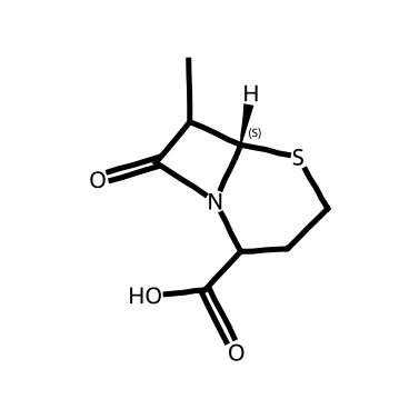 CC1C(=O)N2C(C(=O)O)CCS[C@@H]12